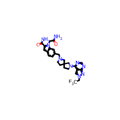 NC(=O)Cn1c(C(N)=O)cc2ccc(CN3CCC4(CCN(c5ncnc6nn(CC(F)(F)F)cc56)C4)C3)cc21